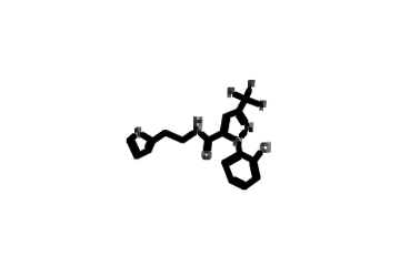 O=C(NCCc1cccs1)c1cc(C(F)(F)F)nn1-c1ccccc1Cl